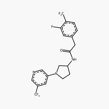 O=C(Cc1ccc(C(F)(F)F)c(F)c1)NC1CCN(c2cncc(C(F)(F)F)c2)C1